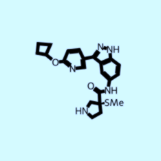 CS[C@@]1(C(=O)Nc2ccc3[nH]nc(-c4ccc(OC5CCC5)nc4)c3c2)CCNC1